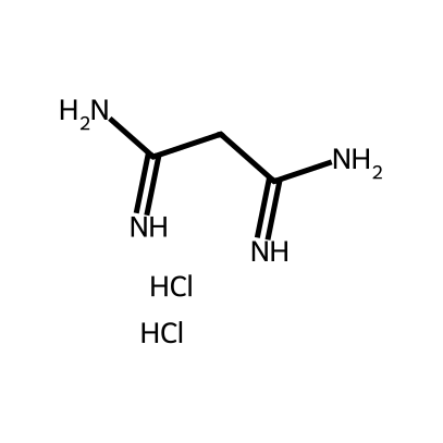 Cl.Cl.N=C(N)CC(=N)N